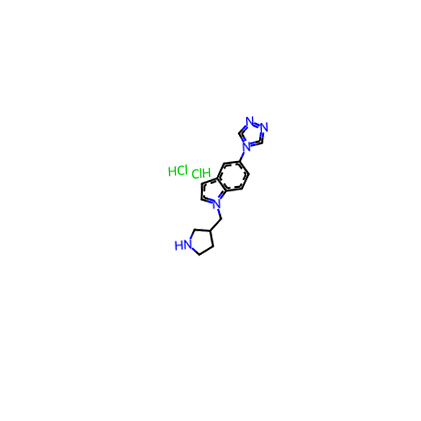 Cl.Cl.c1cc2c(ccn2CC2CCNC2)cc1-n1cnnc1